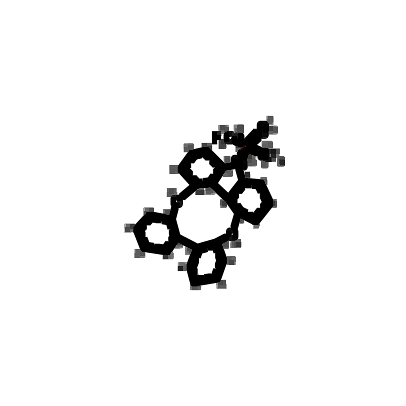 O=S(=O)(Oc1cccc2c1-c1c(cccc1OS(=O)(=O)C(F)(F)F)Oc1ccccc1-c1ccccc1O2)C(F)(F)F